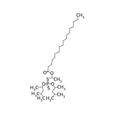 CCCCCCCCCCCCCCCCCC(=O)OC(C)SP(=S)(OC(C)CC(C)C)OC(C)CC(C)C